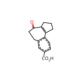 O=C1CCc2cc(C(=O)O)ccc2C2=C1CCC2